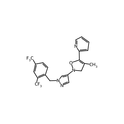 CC1=C(c2ccccn2)ON(c2cnn(Cc3ccc(C(F)(F)F)cc3C(F)(F)F)c2)C1